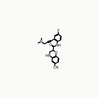 CN(C)CC#Cc1cc(F)ccc1NC(=O)C1CNc2cc(C#N)ccc2O1